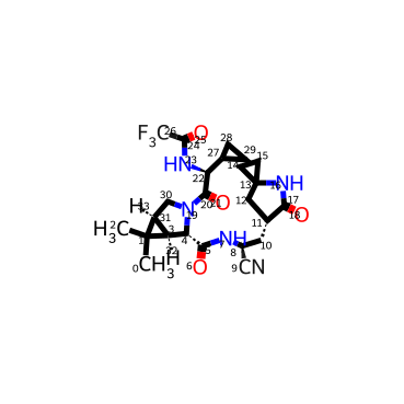 CC1(C)[C@@H]2[C@@H](C(=O)N[C@H](C#N)C[C@@H]3CC4(CC4)NC3=O)N(C(=O)[C@@H](NC(=O)C(F)(F)F)C3CC3)C[C@@H]21